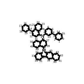 c1ccc(-c2cccc(N(c3ccc(-c4ccccc4)c4ccccc34)c3ccc(-n4c5ccccc5c5cc6ccccc6cc54)c4ccccc34)c2)cc1